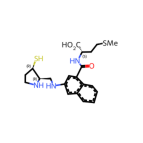 CSCC[C@H](NC(=O)c1cc(NC[C@H]2NCC[C@H]2S)cc2ccccc12)C(=O)O